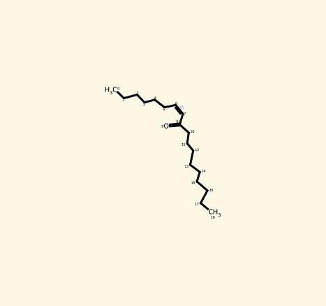 CCCCCC/C=C\C(=O)CCCCCCCCC